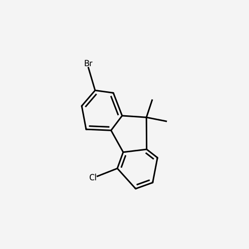 CC1(C)c2cc(Br)ccc2-c2c(Cl)cccc21